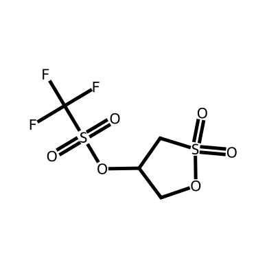 O=S1(=O)CC(OS(=O)(=O)C(F)(F)F)CO1